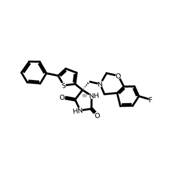 O=C1NC(=O)[C@@](CN2COc3cc(F)ccc3C2)(c2ccc(-c3ccccc3)s2)N1